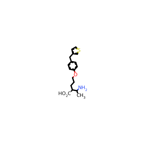 CC(N)C(CCCOc1ccc(Cc2ccsc2)cc1)C(=O)O